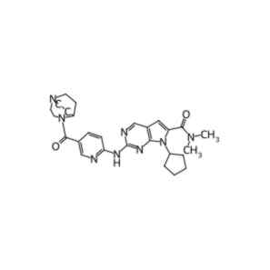 CN(C)C(=O)c1cc2cnc(Nc3ccc(C(=O)N4CCN5CCC4CC5)cn3)nc2n1C1CCCC1